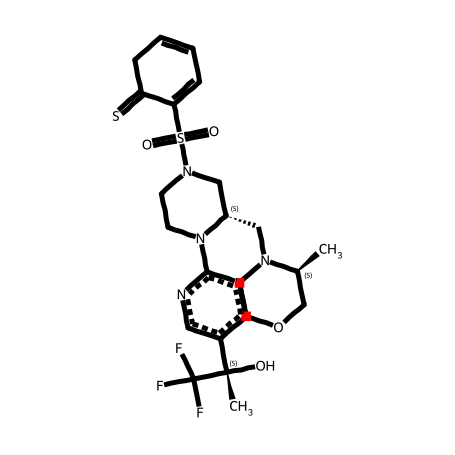 C[C@H]1COCCN1C[C@H]1CN(S(=O)(=O)C2=CC=CCC2=S)CCN1c1ncc([C@](C)(O)C(F)(F)F)cn1